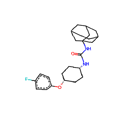 O=C(NC12CC3CC(CC(C3)C1)C2)N[C@H]1CC[C@@H](Oc2ccc(F)cc2)CC1